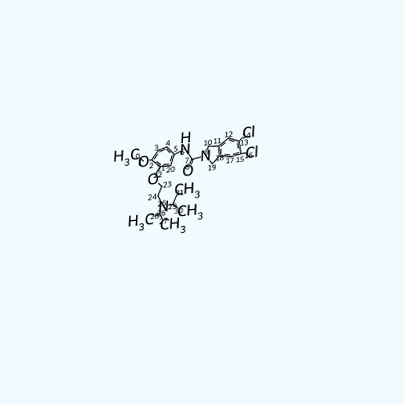 COc1ccc(NC(=O)N2Cc3cc(Cl)c(Cl)cc3C2)cc1OCCN(C(C)C)C(C)C